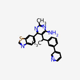 Cc1nc(N)c(C(C)c2cccc(-c3cccnc3)c2)c(-c2ccc3ncsc3c2)n1